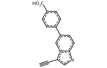 C#Cc1cnc2ccc(-c3ccc(C(=O)O)cc3)cn12